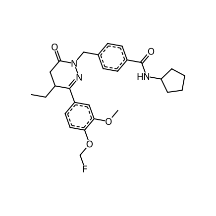 CCC1CC(=O)N(Cc2ccc(C(=O)NC3CCCC3)cc2)N=C1c1ccc(OCF)c(OC)c1